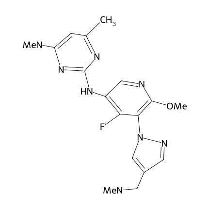 CNCc1cnn(-c2c(OC)ncc(Nc3nc(C)cc(NC)n3)c2F)c1